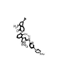 Bc1cc(C2CC2)cc2ccn(-c3cccc(C(/C=C(\C)Nc4ccc(N5CCN(CCCC)CC5)cn4)=C/NC=O)c3C)c(=O)c12